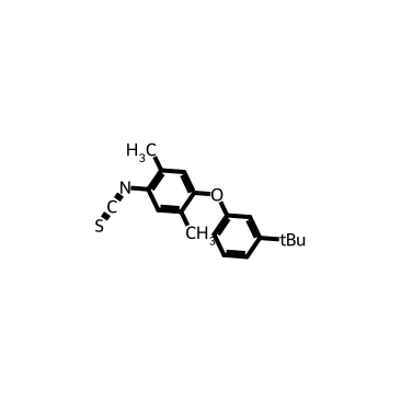 Cc1cc(Oc2cccc(C(C)(C)C)c2)c(C)cc1N=C=S